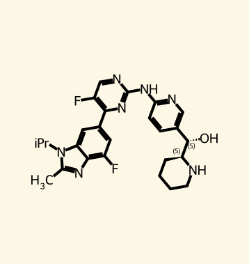 Cc1nc2c(F)cc(-c3nc(Nc4ccc([C@H](O)[C@@H]5CCCCN5)cn4)ncc3F)cc2n1C(C)C